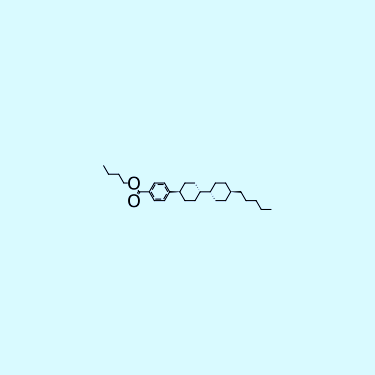 CCCCC[C@H]1CC[C@H]([C@H]2CC[C@H](c3ccc(C(=O)OCCCC)cc3)CC2)CC1